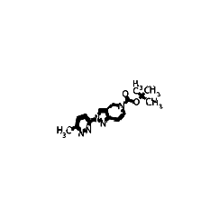 Cc1ccc(-n2cc3c(n2)CCN(C(=O)OC(C)(C)C)C3)nn1